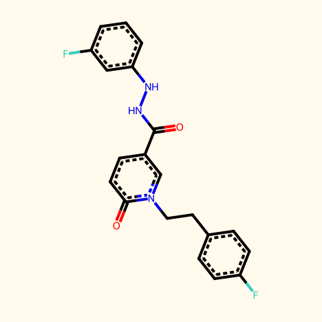 O=C(NNc1cccc(F)c1)c1ccc(=O)n(CCc2ccc(F)cc2)c1